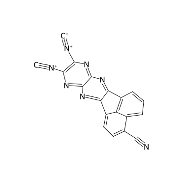 [C-]#[N+]c1nc2nc3c(nc2nc1[N+]#[C-])-c1ccc(C#N)c2cccc-3c12